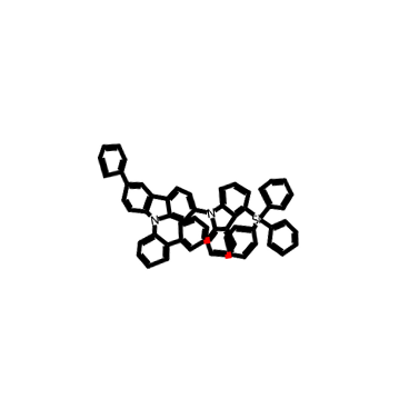 c1ccc(-c2ccc3c(c2)c2ccc(-n4c5ccccc5c5c([Si](c6ccccc6)(c6ccccc6)c6ccccc6)cccc54)cc2n3-c2ccccc2-c2ccccc2)cc1